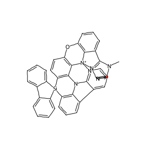 Cn1c2[n+](c3cnccc31)[N+]13c4c(cccc4-2)Oc2ccc4c(c21)-n1c2c(cccc2c2ccc[n+]3c21)[Si]41c2ccccc2-c2ccccc21